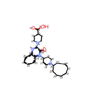 O=C(O)C1CCN(c2nc3ccccc3n(C3CCN(C4CCCCCCC4)CC3)c2=O)CC1